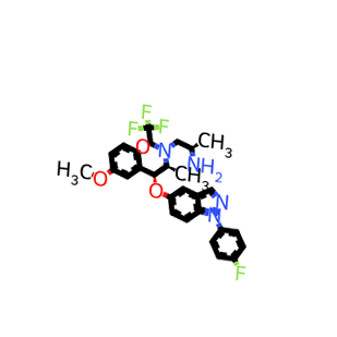 COc1cccc([C@H](Oc2ccc3c(cnn3-c3ccc(F)cc3)c2)[C@H](C)N(C[C@@H](C)N)C(=O)C(F)(F)F)c1